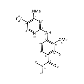 CNc1nc(Nc2ccc(C(=O)N(C)C)c(C)c2OC)ncc1C(F)(F)F